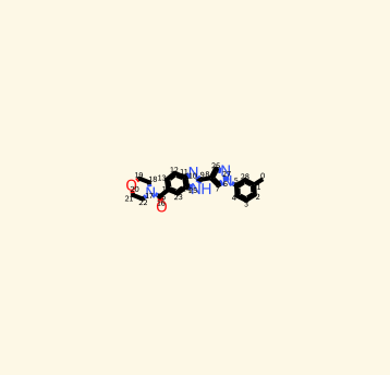 Cc1cccc(-n2cc(-c3nc4ccc(C(=O)N5CCOCC5)cc4[nH]3)cn2)c1